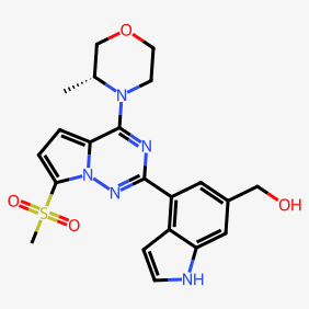 C[C@@H]1COCCN1c1nc(-c2cc(CO)cc3[nH]ccc23)nn2c(S(C)(=O)=O)ccc12